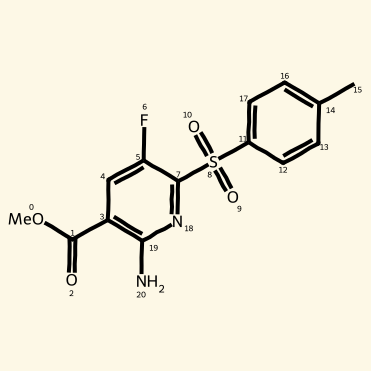 COC(=O)c1cc(F)c(S(=O)(=O)c2ccc(C)cc2)nc1N